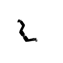 CC=C=CCC(C)=O